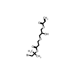 C=CC(=O)OCC(O)COCCC(=O)OC(C)(C)CBr